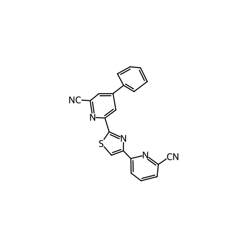 N#Cc1cccc(-c2csc(-c3cc(-c4ccccc4)cc(C#N)n3)n2)n1